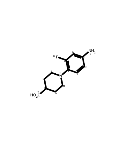 Nc1ccc(N2CCC(C(=O)O)CC2)c(F)c1